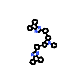 c1ccc(-n2c3ccc(-c4cccc(-c5cnc6c7ccccc7c7ccccc7c6n5)c4)cc3c3cc(-c4cccc(-c5cnc6c7ccccc7c7ccccc7c6n5)c4)ccc32)cc1